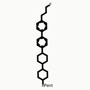 CCCCCC1CCC(C2CCC(c3ccc(-c4ccc(CCCF)cc4)cc3)CC2)CC1